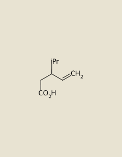 C=CC(CC(=O)O)C(C)C